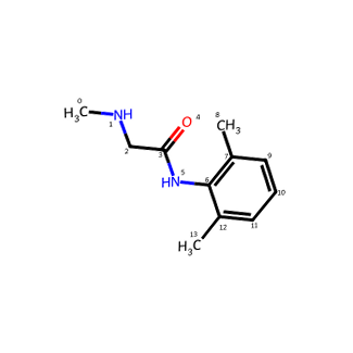 CNCC(=O)Nc1c(C)cccc1C